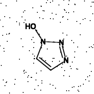 On1[c]cnn1